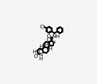 C[C@]12CCC(=O)NC1CC[C@@H]1[C@H]2CC[C@]2(C)C(C(=O)NC(c3ccccc3)c3ccc(Cl)cc3)CC[C@@H]12